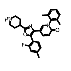 Cc1ccc(-c2oc(C3CCNCC3)nc2-c2ccc(=O)n(-c3c(C)cccc3C)c2)c(F)c1